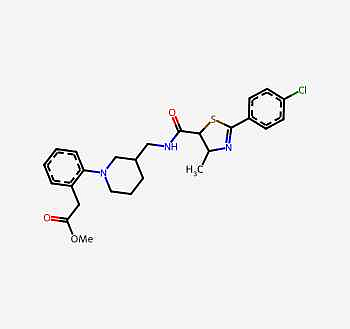 COC(=O)Cc1ccccc1N1CCCC(CNC(=O)C2SC(c3ccc(Cl)cc3)=NC2C)C1